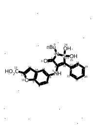 CCCCN1C(=O)C(Nc2ccc3oc(C(=O)O)cc3c2)=C(c2ccccc2)S1(O)O